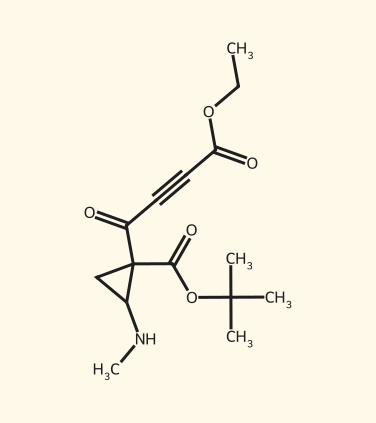 CCOC(=O)C#CC(=O)C1(C(=O)OC(C)(C)C)CC1NC